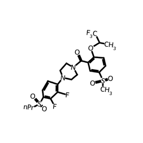 CCCS(=O)(=O)c1ccc(N2CCN(C(=O)c3cc(S(C)(=O)=O)ccc3OC(C)C(F)(F)F)CC2)c(F)c1F